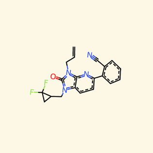 C=CCn1c(=O)n(CC2CC2(F)F)c2ccc(-c3ccccc3C#N)nc21